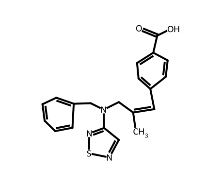 CC(=Cc1ccc(C(=O)O)cc1)CN(Cc1ccccc1)c1cnsn1